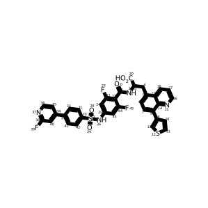 O=C(NC(Cc1ccc(-c2ccsc2)c2ncccc12)C(=O)O)c1c(F)cc(NS(=O)(=O)c2ccc(-c3ccnc(F)c3)cc2)cc1F